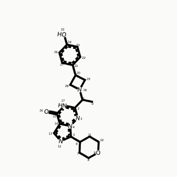 CC(c1nn2c(C3CCOCC3)ncc2c(=O)[nH]1)N1CC(c2ccc(O)cc2)C1